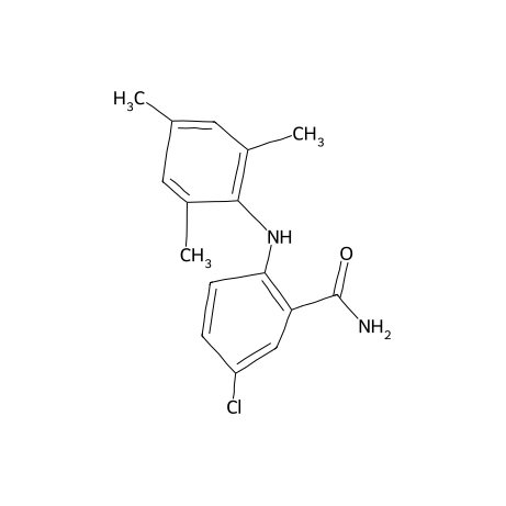 Cc1cc(C)c(Nc2ccc(Cl)cc2C(N)=O)c(C)c1